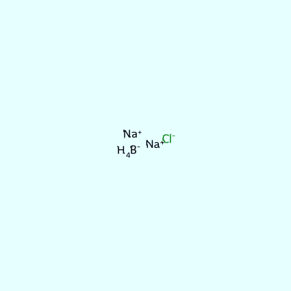 [BH4-].[Cl-].[Na+].[Na+]